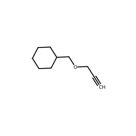 C#CCOCC1CC[CH]CC1